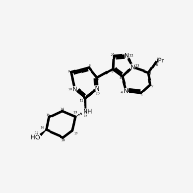 CC(C)C1CC=Nc2c(-c3ccnc(N[C@H]4CC[C@H](O)CC4)n3)cnn21